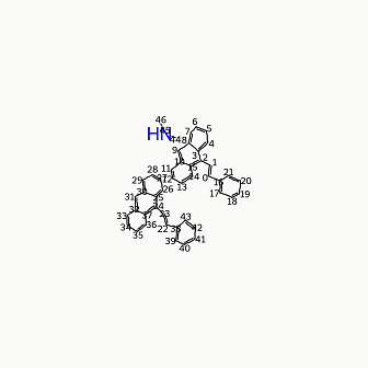 C(=Cc1c2ccccc2cc2ccccc12)c1ccccc1.C(=Cc1c2ccccc2cc2ccccc12)c1ccccc1.CNC